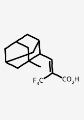 CC12CC3CC(CC(C3)C1C=C(C(=O)O)C(F)(F)F)C2